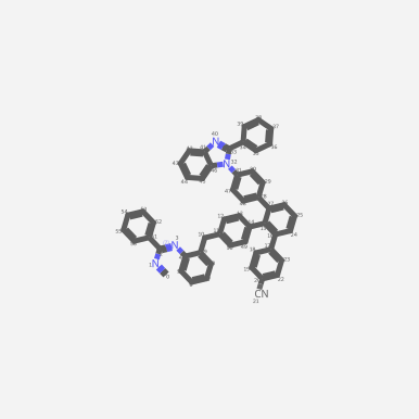 C=N/C(=N\c1ccccc1Cc1ccc(-c2c(-c3ccc(C#N)cc3)cccc2-c2ccc(-n3c(-c4ccccc4)nc4ccccc43)cc2)cc1)c1ccccc1